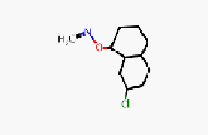 C=NOC1CCCC2CCC(Cl)CC21